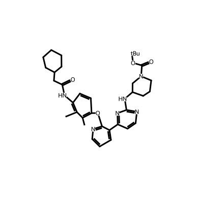 Cc1c(NC(=O)CC2CCCCC2)ccc(Oc2ncccc2-c2ccnc(NC3CCCN(C(=O)OC(C)(C)C)C3)n2)c1C